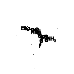 CCN1CCC(c2ccc(C(=O)Nc3cc(Oc4cc5ccn(C(N)=O)c5cc4COCCCF)ccn3)cc2)CC1